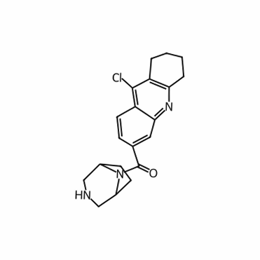 O=C(c1ccc2c(Cl)c3c(nc2c1)CCCC3)N1C2CCC1CNC2